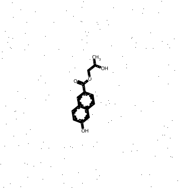 CC(O)COC(=O)c1ccc2cc(O)ccc2c1